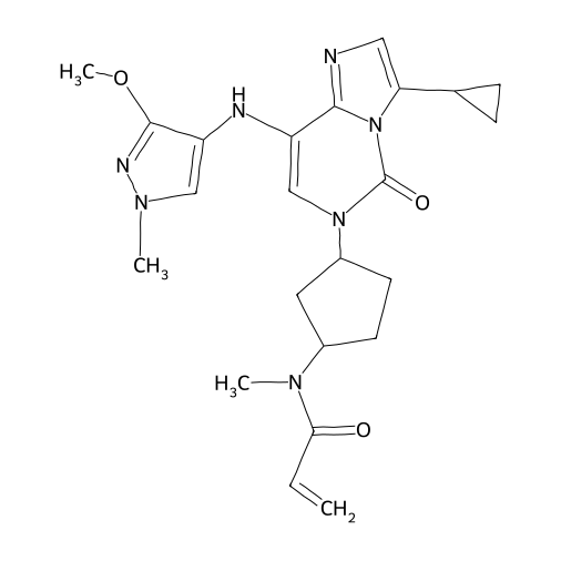 C=CC(=O)N(C)C1CCC(n2cc(Nc3cn(C)nc3OC)c3ncc(C4CC4)n3c2=O)C1